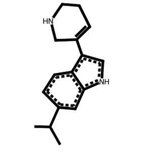 CC(C)c1ccc2c(C3=CCCNC3)c[nH]c2c1